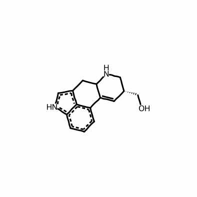 OC[C@@H]1C=C2c3cccc4[nH]cc(c34)CC2NC1